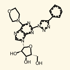 OC[C@H]1O[C@@H](n2cnc3c(N4CCOCC4)nc(-n4cc(-c5ccccc5)nn4)nc32)[C@H](O)[C@@H]1O